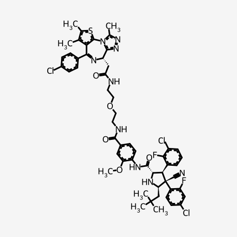 COc1cc(C(=O)NCCOCCNC(=O)C[C@@H]2N=C(c3ccc(Cl)cc3)c3c(sc(C)c3C)-n3c(C)nnc32)ccc1NC(=O)[C@H]1N[C@H](CC(C)(C)C)[C@@](C#N)(c2ccc(Cl)cc2F)[C@@H]1c1cccc(Cl)c1F